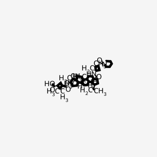 C=C(C)[C@@H]1CC[C@]2(C(=O)NC3C[C@@H](C(=O)N4CCCCC4)C3(C)C)CC[C@]3(C)[C@H](CC[C@@H]4[C@@]5(C)CC[C@H](OC(=O)C6C[C@H](C(=O)O)C6(C)C)C(C)(C)[C@@H]5CC[C@]43C)[C@@H]12